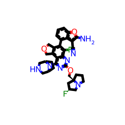 N#Cc1c(N)oc2cccc(-c3c4c(c5c(N6C7CCC6CNC7)nc(OC[C@@]67CCCN6C[C@H](F)C7)nc5c3F)COC4)c12